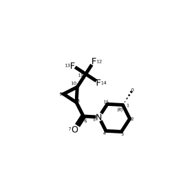 C[C@@H]1CCCN(C(=O)C2CC2C(F)(F)F)C1